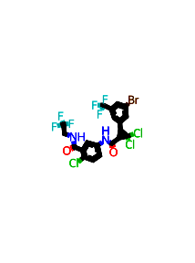 O=C(NCC(F)(F)F)c1cc(NC(=O)C2C(c3cc(Br)cc(C(F)(F)F)c3)C2(Cl)Cl)ccc1Cl